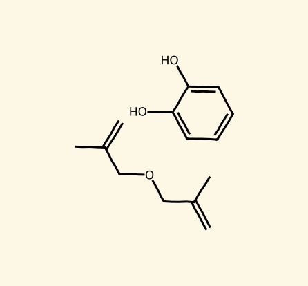 C=C(C)COCC(=C)C.Oc1ccccc1O